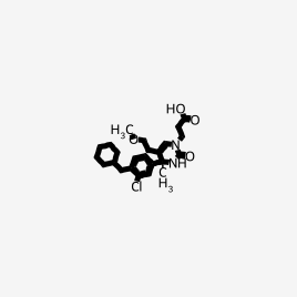 COCCC1=CN(CCC(=O)O)C(=O)N[C@@]1(C)c1ccc(CC2CCCCC2)c(Cl)c1